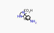 CC(C)(C)C1NCCN(C(=O)O)C1(C)c1ccc(N)cc1